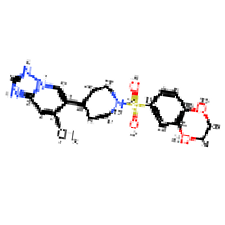 Cc1cc2ncnn2cc1C1CCN(S(=O)(=O)c2ccc3c(c2)OCCO3)CC1